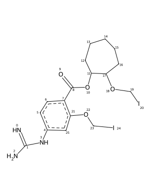 N=C(N)Nc1ccc(C(=O)OC2CCCCCC2OCI)c(OCI)c1